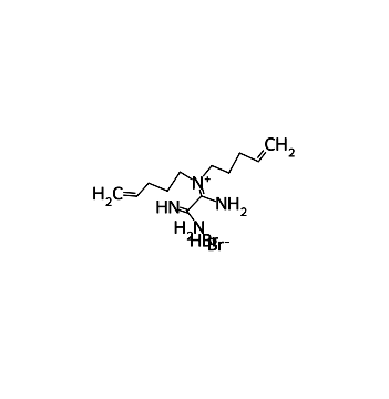 Br.C=CCCC[N+](CCCC=C)=C(N)C(=N)N.[Br-]